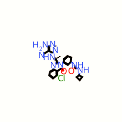 C[C@H](Nc1ncnc(N)c1C#N)c1nc2cccc(Cl)c2c(=O)n1C1=CC(NC(=O)NC2CCC2)CC=C1